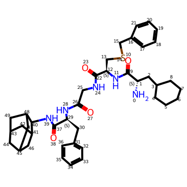 N[C@@H](CC1CCCCC1)C(=O)N[C@H](CSCc1ccccc1)C(=O)NCC(=O)N[C@@H](Cc1ccccc1)C(=O)NC1C2CC3CC(C2)CC1C3